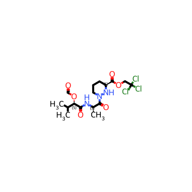 CC(C)[C@H](OC=O)C(=O)N[C@@H](C)C(=O)N1CCC[C@@H](C(=O)OCC(Cl)(Cl)Cl)N1